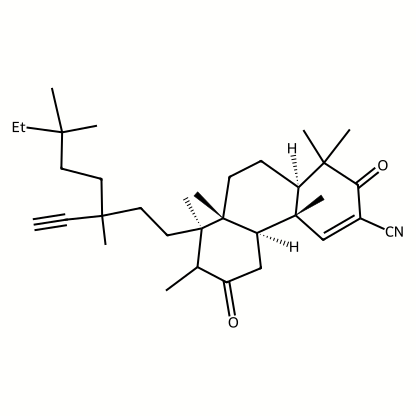 C#CC(C)(CCC(C)(C)CC)CC[C@]1(C)C(C)C(=O)C[C@@H]2[C@@]3(C)C=C(C#N)C(=O)C(C)(C)[C@@H]3CC[C@]21C